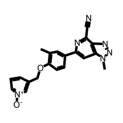 Cc1cc(-c2cc3c(nnn3C)c(C#N)n2)ccc1OCc1ccc[n+]([O-])c1